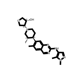 Cc1cc2cnc(Nc3cnn(C)c3C)nc2cc1[C@@H]1CCN([C@@H]2COC[C@@H]2O)C[C@H]1F